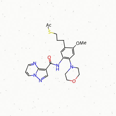 COc1cc(N2CCOCC2)c(NC(=O)c2cnn3cccnc23)cc1CCCSC(C)=O